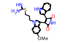 COc1ccc2c(c1)c(C1=C(c3c[nH]c4ccccc34)C(=O)NC1=O)cn2CCCSC(=N)N